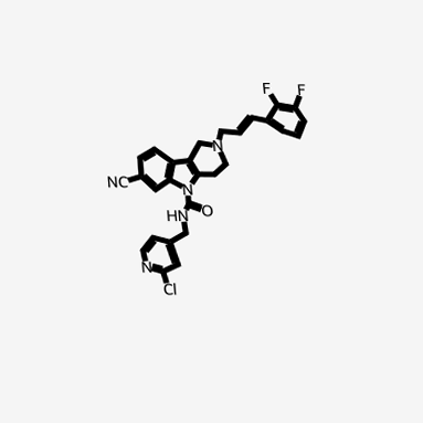 N#Cc1ccc2c3c(n(C(=O)NCc4ccnc(Cl)c4)c2c1)CCN(CC=Cc1cccc(F)c1F)C3